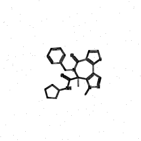 Cn1ncc2c1C(C)(C(=O)NC1CCCC1)N(Cc1ccccc1)C(=O)c1ccsc1-2